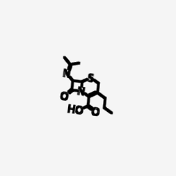 CCCC1=C(C(=O)O)N2C(=O)C(N=C(C)C)C2SC1